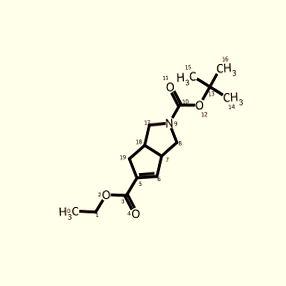 CCOC(=O)C1=CC2CN(C(=O)OC(C)(C)C)CC2C1